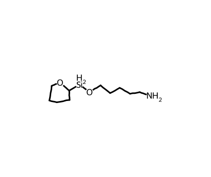 NCCCCCO[SiH2]C1CCCCO1